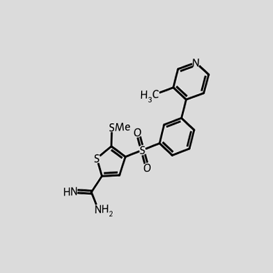 CSc1sc(C(=N)N)cc1S(=O)(=O)c1cccc(-c2ccncc2C)c1